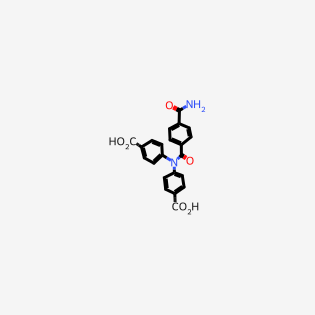 NC(=O)c1ccc(C(=O)N(c2ccc(C(=O)O)cc2)c2ccc(C(=O)O)cc2)cc1